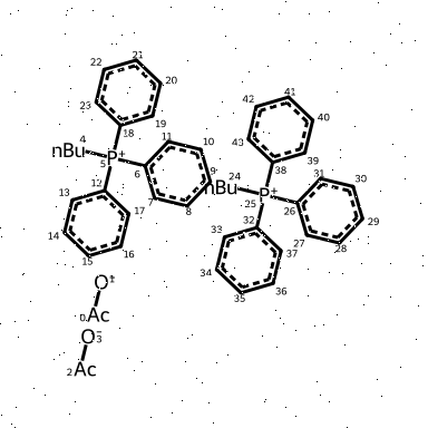 CC(=O)[O-].CC(=O)[O-].CCCC[P+](c1ccccc1)(c1ccccc1)c1ccccc1.CCCC[P+](c1ccccc1)(c1ccccc1)c1ccccc1